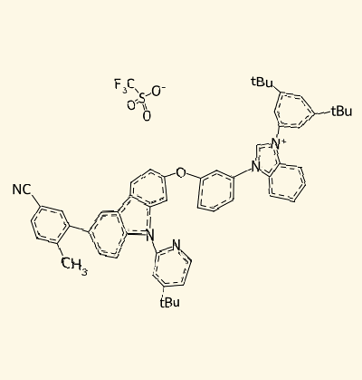 Cc1ccc(C#N)cc1-c1ccc2c(c1)c1ccc(Oc3cccc(-n4c[n+](-c5cc(C(C)(C)C)cc(C(C)(C)C)c5)c5ccccc54)c3)cc1n2-c1cc(C(C)(C)C)ccn1.O=S(=O)([O-])C(F)(F)F